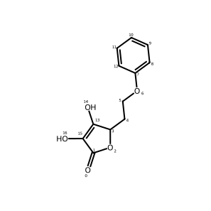 O=C1OC(CCOc2ccccc2)C(O)=C1O